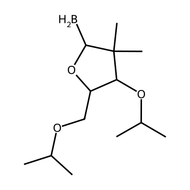 BC1OC(COC(C)C)C(OC(C)C)C1(C)C